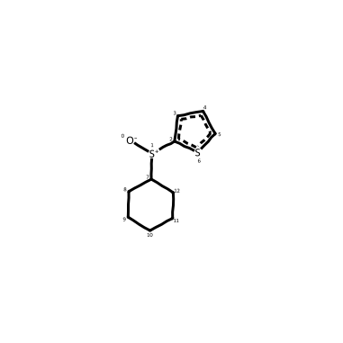 [O-][S+](c1cccs1)C1CCCCC1